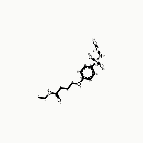 CCOC(=O)CCCOc1ccc(S(=O)(=O)N=C=O)cc1